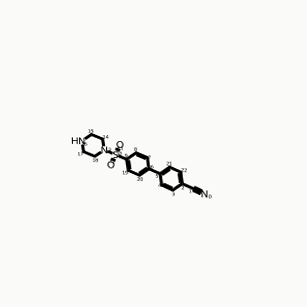 N#Cc1ccc(-c2ccc(S(=O)(=O)N3CCNCC3)cc2)cc1